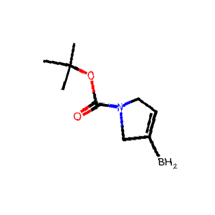 BC1=CCN(C(=O)OC(C)(C)C)C1